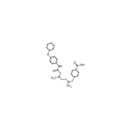 CN(CCN(C)Cc1ccc(C(=O)O)cc1)CC(=O)Nc1ccc(Oc2ccccc2)cc1